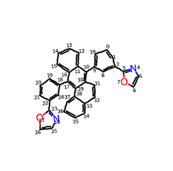 c1cc(-c2ncco2)cc(-c2c3ccccc3c(-c3cccc(-c4ncco4)c3)c3c2ccc2ccccc23)c1